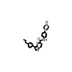 CCCc1ccc(-c2cnn3ccc(C(=O)Nc4ccc(N5CCNCC5)cc4)nc23)cc1